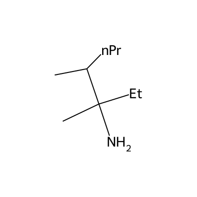 CCCC(C)C(C)(N)CC